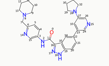 O=C(Nc1ccc(CN2CCCCC2)nc1)c1n[nH]c2ccc(-c3cncc(N4CCCC4)c3)cc12